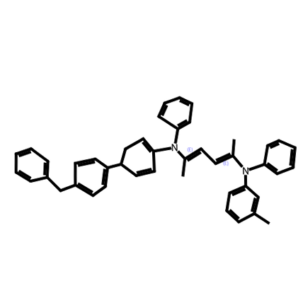 C/C(=C\C=C(/C)N(c1ccccc1)c1cccc(C)c1)N(C1=CCC(c2ccc(Cc3ccccc3)cc2)C=C1)c1ccccc1